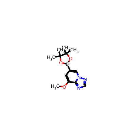 COc1cc(B2OC(C)(C)C(C)(C)O2)cn2ncnc12